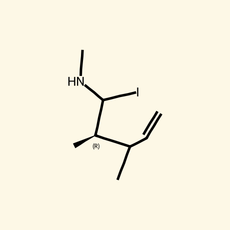 C=CC(C)[C@@H](C)C(I)NC